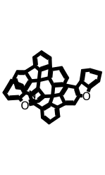 c1ccc2c(c1)-c1ccccc1C21c2ccccc2C2(c3cc4c(cc3-c3cccc(-c5nc6ccccc6o5)c32)oc2ccccc24)c2ccccc21